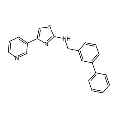 c1ccc(-c2cccc(CNc3nc(-c4cccnc4)cs3)c2)cc1